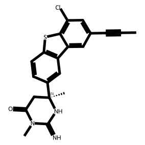 CC#Cc1cc(Cl)c2sc3ccc([C@]4(C)CC(=O)N(C)C(=N)N4)cc3c2c1